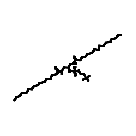 CCCCCCCCCCCCCCCC(=O)NCC(CNC(=O)CCCCCCCCCCCCCCC)OP(=O)([O-])OCC[N+](C)(C)C